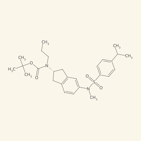 CCCN(C(=O)OC(C)(C)C)[C@H]1Cc2ccc(N(C)S(=O)(=O)c3ccc(C(C)C)cc3)cc2C1